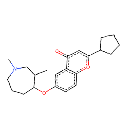 CC1CN(C)CCCC1Oc1ccc2oc(C3CCCC3)cc(=O)c2c1